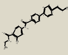 CCCCCCCCCCCCc1ccc(-c2ccc(C(=O)Oc3ccc(C(=O)OCC(C)CC)c(Cl)c3)cc2)cc1